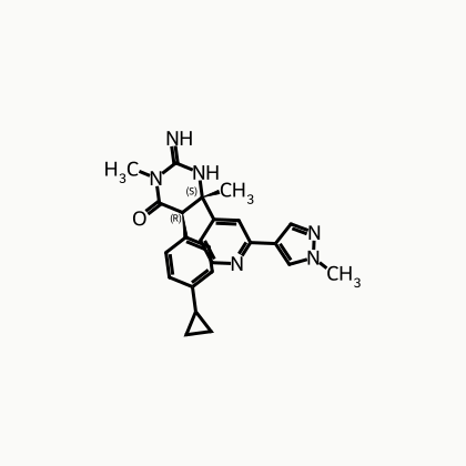 CN1C(=N)N[C@](C)(c2ccnc(-c3cnn(C)c3)c2)[C@@H](c2ccc(C3CC3)cc2)C1=O